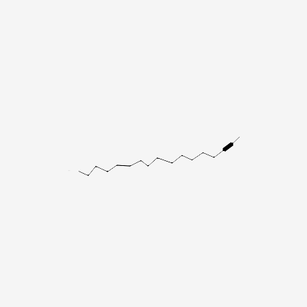 [CH2]CC#CCCCCCCCCCCCCCCCCCCCCCC[CH2]